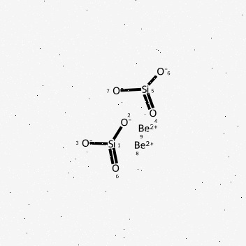 O=[Si]([O-])[O-].O=[Si]([O-])[O-].[Be+2].[Be+2]